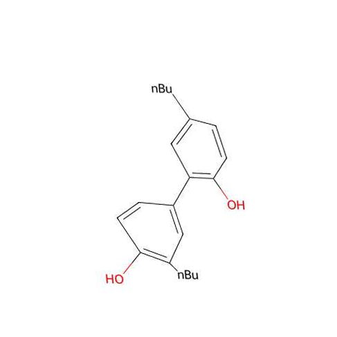 CCCCc1ccc(O)c(-c2ccc(O)c(CCCC)c2)c1